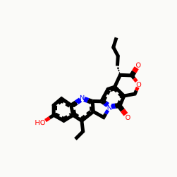 CCCC[C@@H]1C(=O)OCc2c1cc1n(c2=O)Cc2c-1nc1ccc(O)cc1c2CC